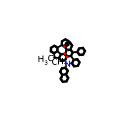 CC1(C)c2cc(N(c3ccc4ccccc4c3)c3ccccc3-c3ccc4ccccc4c3-c3ccccc3)ccc2-c2c(-c3ccccc3)cccc21